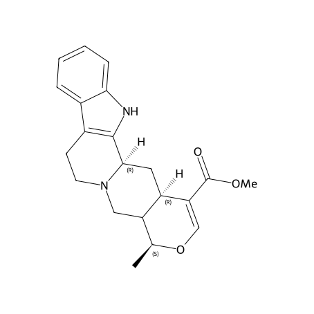 COC(=O)C1=CO[C@@H](C)C2CN3CCc4c([nH]c5ccccc45)[C@H]3C[C@@H]12